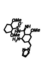 COC1CC(Cn2cccn2)CC(N)C1C(=N)N[S+]([O-])C1C(OC)CCCC1OC